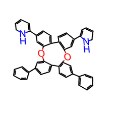 C1=CCNC(c2ccc3c(c2)Oc2cc(-c4ccccc4)ccc2-c2ccc(-c4ccccc4)cc2Oc2cc(C4=CC=CCN4)ccc2-3)=C1